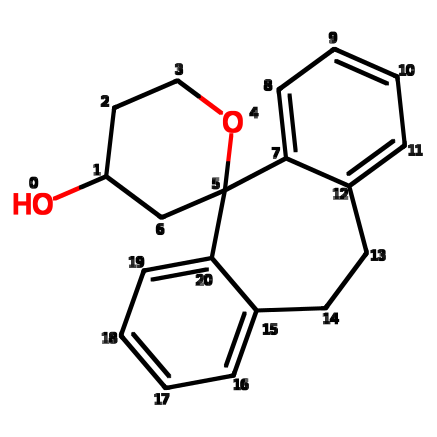 OC1CCOC2(C1)c1ccccc1CCc1ccccc12